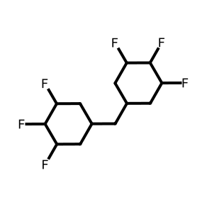 FC1CC(CC2CC(F)C(F)C(F)C2)CC(F)C1F